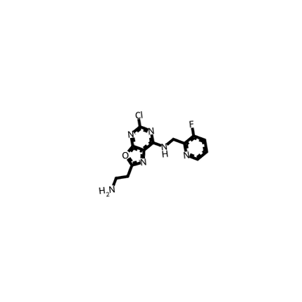 NCCc1nc2c(NCc3ncccc3F)nc(Cl)nc2o1